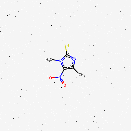 Cc1nc(S)n(C)c1[N+](=O)[O-]